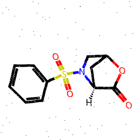 O=C1OC2C[C@@H]1N(S(=O)(=O)c1ccccc1)C2